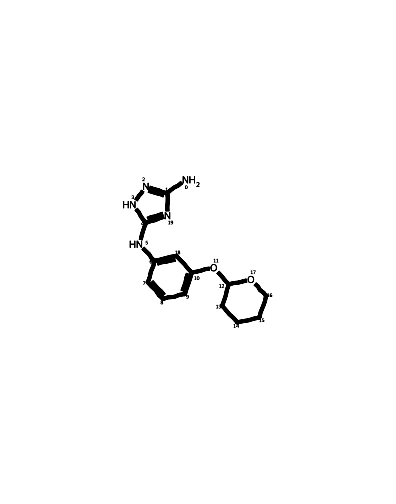 Nc1n[nH]c(Nc2cccc(OC3CCCCO3)c2)n1